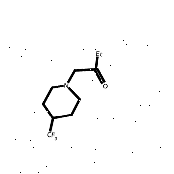 CCC(=O)CN1CCC(C(F)(F)F)CC1